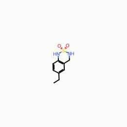 CCc1ccc2c(c1)CNS(=O)(=O)N2